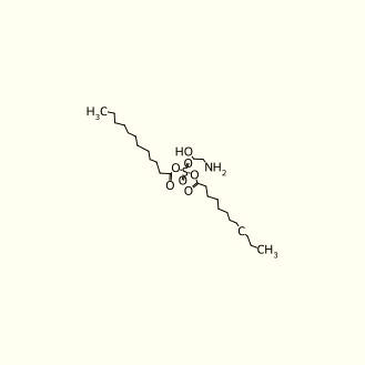 CCCCCCCCCCCC(=O)OS(=O)(=O)OC(=O)CCCCCCCCCCC.NCCO